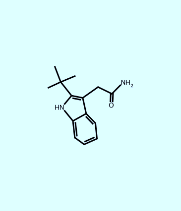 CC(C)(C)c1[nH]c2ccccc2c1CC(N)=O